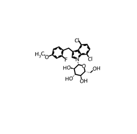 COc1ccc(Cc2cn([C@@H]3O[C@H](CO)[C@@H](O)[C@H](O)[C@H]3O)c3c(Cl)ccc(Cl)c23)c(F)c1